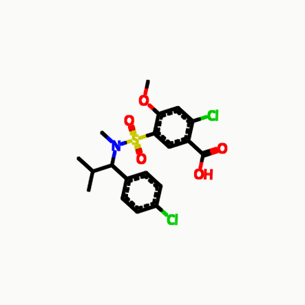 COc1cc(Cl)c(C(=O)O)cc1S(=O)(=O)N(C)C(c1ccc(Cl)cc1)C(C)C